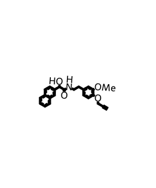 C#CCOc1ccc(CCNC(=O)C(O)c2ccc3ccccc3c2)cc1OC